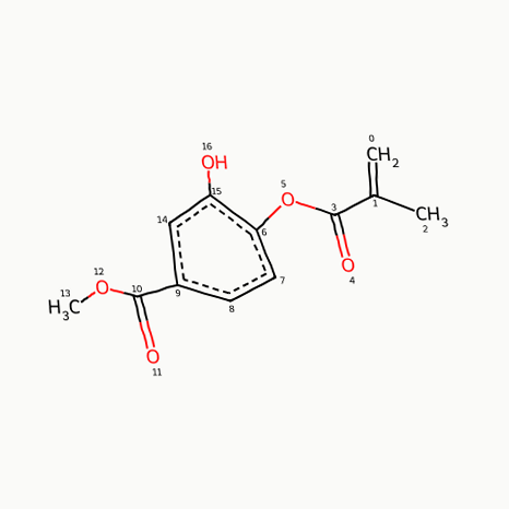 C=C(C)C(=O)Oc1ccc(C(=O)OC)cc1O